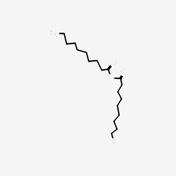 CC(=O)CCCCCCCCC(=O)OC(=O)CCCCCCCCC(C)=O